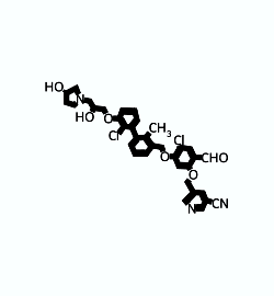 Cc1c(COc2cc(OCc3cncc(C#N)c3)c(C=O)cc2Cl)cccc1-c1cccc(OCC(O)CN2CC[C@@H](O)C2)c1Cl